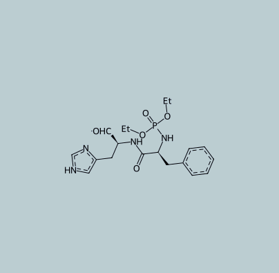 CCOP(=O)(N[C@@H](Cc1ccccc1)C(=O)N[C@H]([C]=O)Cc1c[nH]cn1)OCC